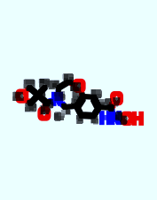 C[C@H]1c2ccc(C(=O)NO)cc2OCCN1C(=O)C1(C)COC1